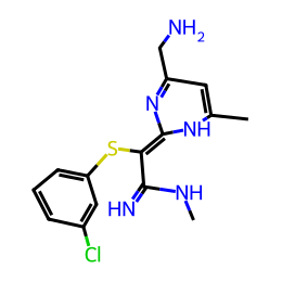 CNC(=N)/C(Sc1cccc(Cl)c1)=C1/N=C(CN)C=C(C)N1